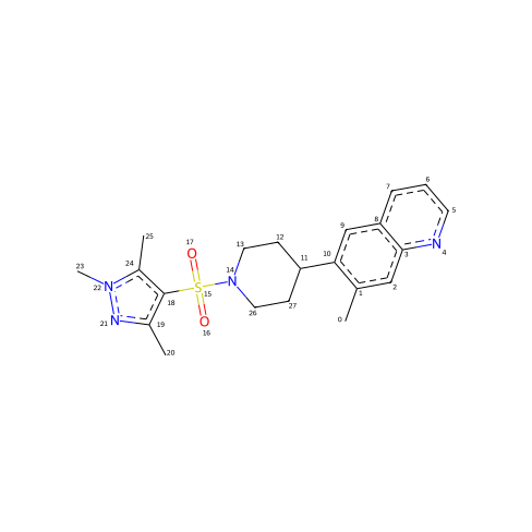 Cc1cc2ncccc2cc1C1CCN(S(=O)(=O)c2c(C)nn(C)c2C)CC1